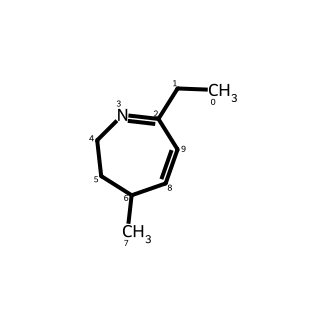 CCC1=NCCC(C)C=C1